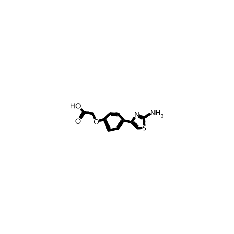 Nc1nc(-c2ccc(OCC(=O)O)cc2)cs1